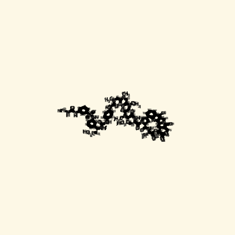 CCCNC(=O)Nc1cccc(S(=O)(=O)Nc2cccc([C@@H](CC(=O)O)NC(=O)Nc3ccc(NC(=O)N(C)CC(=O)N(C)CC(=O)N(C)CC(=O)N(C)CC(=O)N[C@@H](CC(=O)O)C(=O)N4CCC[C@H]4C(=O)N[C@H](C(=O)OC4(CC)C(=O)OCc5c4cc4n(c5=O)Cc5c-4nc4ccccc4c5CC)C(C)C)cc3)c2)c1